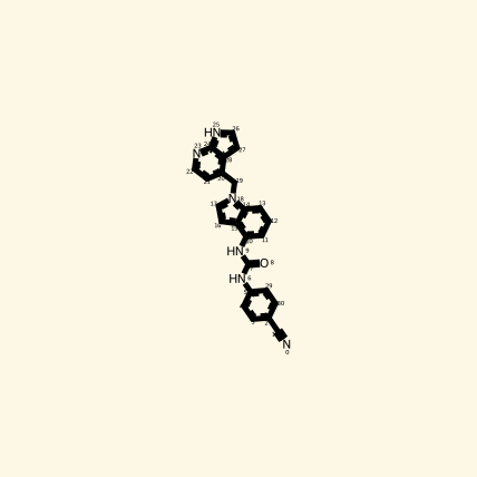 N#Cc1ccc(NC(=O)Nc2cccc3c2ccn3Cc2ccnc3[nH]ccc23)cc1